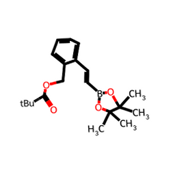 CC(C)(C)C(=O)OCc1ccccc1/C=C/B1OC(C)(C)C(C)(C)O1